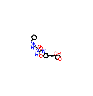 CN1C(=O)[C@@H](NC(=O)c2ncn(Cc3ccccc3)n2)COc2ccc(C#CC3(O)CCOCC3)cc21